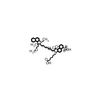 CC[N+]1=C(/C=C/C=C/C=C/C=C2/N(CCCCCC(=O)O)c3ccc4c(S(=O)(=O)O)cccc4c3C2(C)C)C(C)(CCOC)c2c1ccc1ccccc21